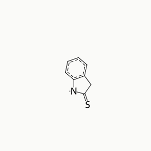 S=C1Cc2ccccc2[N]1